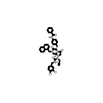 C#CCN(C(=O)NCc1ccc(Cl)c(Cl)c1)N1CC(=O)N2[C@@H](Cc3ccc(NC(=O)c4ccccc4)cc3)C(=O)N(Cc3cccc4ccccc34)C[C@@H]21